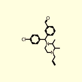 C=CCN1CCN(C(c2ccc(Cl)cc2)c2cccc(C=O)c2)C(C)C1C